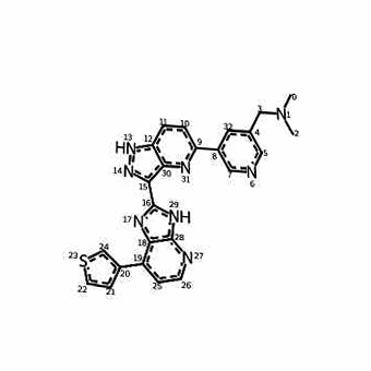 CN(C)Cc1cncc(-c2ccc3[nH]nc(-c4nc5c(-c6ccsc6)ccnc5[nH]4)c3n2)c1